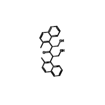 Cc1ccc2ccccc2c1C(CO)C(=O)C(CO)c1c(C)ccc2ccccc12